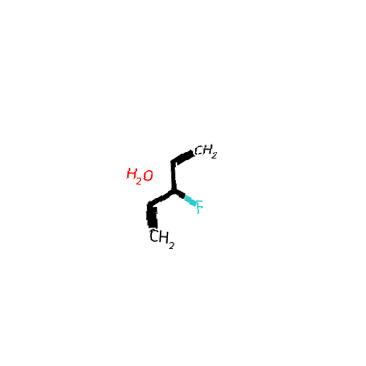 C=C[C](F)C=C.O